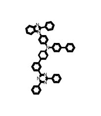 C1=C(c2cccc(-c3nc(-c4ccccc4)nc(-c4ccccc4)n3)c2)CCC(N(c2ccc(-c3ccccc3)cc2)c2ccc(-n3c(-c4ccccc4)nc4ccccc43)cc2)=C1